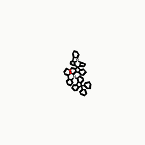 c1ccc(-c2ccccc2N(c2cccc3c2-c2ccccc2C3(c2ccccc2)c2ccccc2)c2cccc3c2-c2ccccc2C32c3ccccc3-n3c4ccccc4c4cccc2c43)cc1